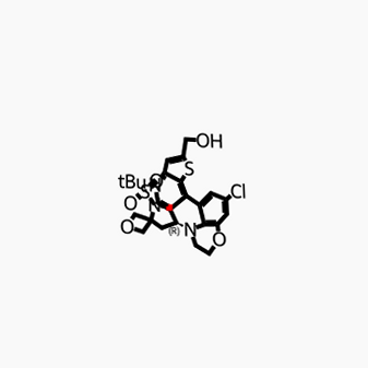 CC(C)(C)S(=O)(=O)N1C[C@H](N2CCOc3cc(Cl)cc(-c4ccnc5cc(CO)sc45)c32)CC12COC2